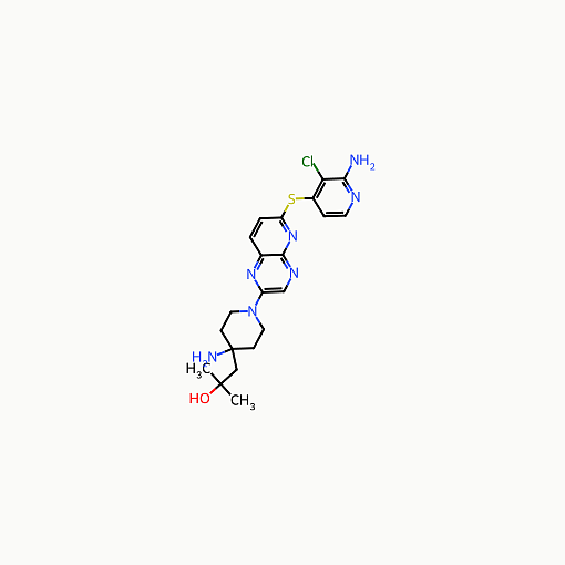 CC(C)(O)CC1(N)CCN(c2cnc3nc(Sc4ccnc(N)c4Cl)ccc3n2)CC1